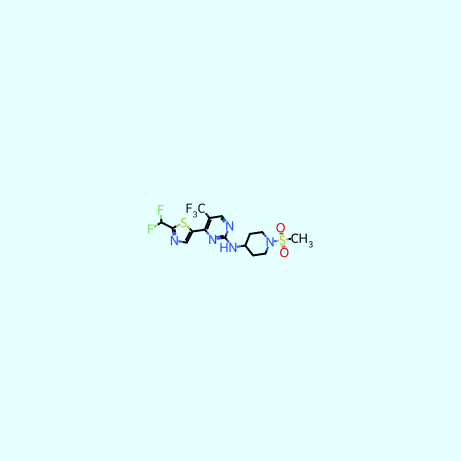 CS(=O)(=O)N1CCC(Nc2ncc(C(F)(F)F)c(-c3cnc(C(F)F)s3)n2)CC1